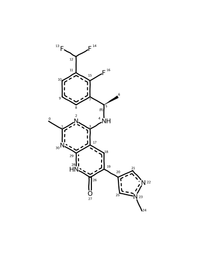 Cc1nc(N[C@H](C)c2cccc(C(F)F)c2F)c2cc(-c3cnn(C)c3)c(=O)[nH]c2n1